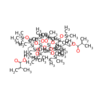 C=C(C)C(=O)OCCC[Si](O[Si](O[Si](C)(C)C)(O[Si](C)(C)C)O[Si](O[Si](C)(C)C)(O[Si](C)(C)C)O[Si](CCCOC(=O)C(=C)C)([Si](C)(C)O[Si](C)(C)C)[Si](C)(C)O[Si](C)(C)C)([Si](C)(C)O[Si](C)(C)C)[Si](C)(C)O[Si](C)(C)C